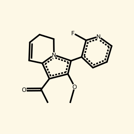 COc1c(C(C)=O)c2n(c1-c1cccnc1F)CCC=C2